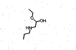 CCCNCC(O)OCC